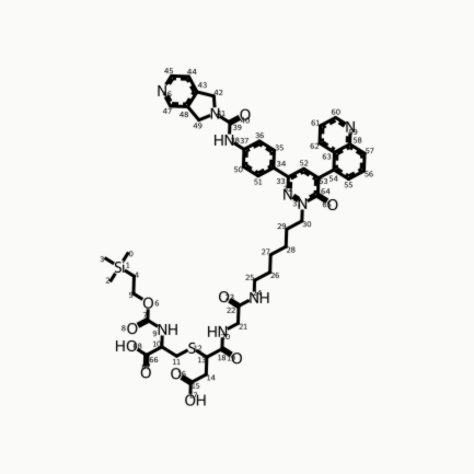 C[Si](C)(C)CCOC(=O)NC(CSC(CC(=O)O)C(=O)NCC(=O)NCCCCCCn1nc(-c2ccc(NC(=O)N3Cc4ccncc4C3)cc2)cc(-c2cccc3ncccc23)c1=O)C(=O)O